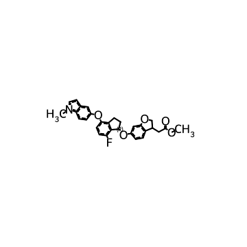 COC(=O)CC1COc2cc(O[C@@H]3CCc4c(Oc5ccc6c(ccn6C)c5)ccc(F)c43)ccc21